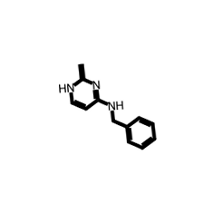 C=C1N=C(NCc2ccccc2)C=CN1